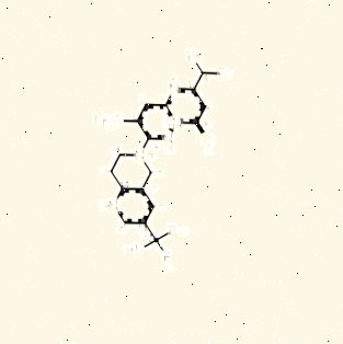 Cc1cc2nc(C(F)F)cc(=O)n2nc1N1CCc2ncc(C(F)(F)F)cc2C1